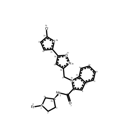 CCN1CC[C@H](NC(=O)c2cc3ccccc3n2Cc2cc(-c3ccc(Cl)s3)on2)C1